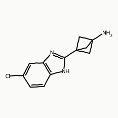 NC12CC(c3nc4cc(Cl)ccc4[nH]3)(C1)C2